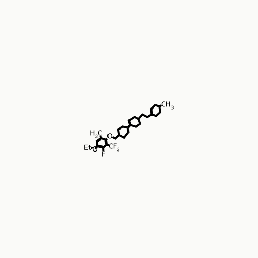 CCOc1cc(C)c(OCC2CCC(C3CCC(CCC4CCC(C)CC4)CC3)CC2)c(C(F)(F)F)c1F